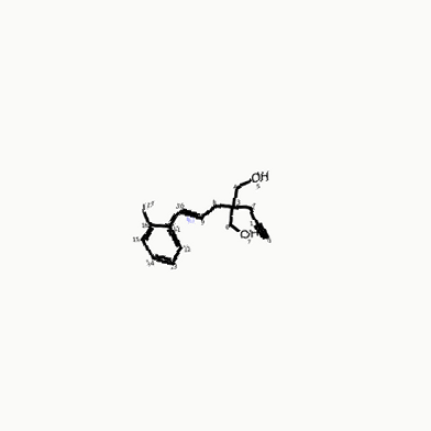 C#CCC(CO)(CO)C/C=C/c1ccccc1I